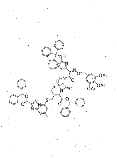 CC(=O)Oc1cc(CO/N=C(\C(=O)N[C@@H]2C(=O)N3C(C(=O)OC(c4ccccc4)c4ccccc4)=C(CSc4cc(C)nc5nc(C(=O)OC(c6ccccc6)c6ccccc6)nn45)CS[C@H]23)c2csc(NC(c3ccccc3)(c3ccccc3)c3ccccc3)n2)cc(OC(C)=O)c1OC(C)=O